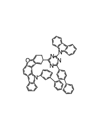 C1=c2oc3ccc4c5ccccc5n(-c5cccc(-c6ccccc6)c5)c4c3c2=CC(c2nc(-c3ccc(-c4ccccc4)cc3)nc(-n3c4ccccc4c4ccccc43)n2)C1